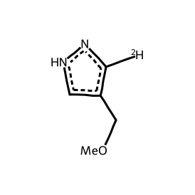 [2H]c1n[nH]cc1COC